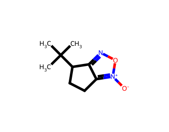 CC(C)(C)C1CCc2c1no[n+]2[O-]